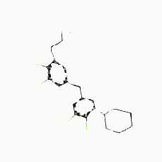 CCCc1cc(Cc2cc(F)c(F)c(C3CCCCC3)c2)cc(F)c1F